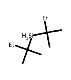 CCC(C)(C)[SiH2]C(C)(C)CC